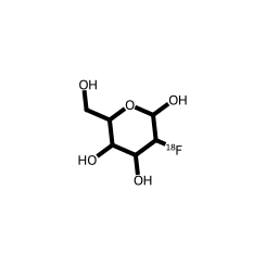 OCC1OC(O)C([18F])C(O)C1O